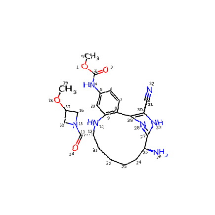 COC(=O)Nc1ccc2c(c1)N[C@@H](C(=O)N1CC(OC)C1)CCCC[C@H](N)c1nc-2c(C#N)[nH]1